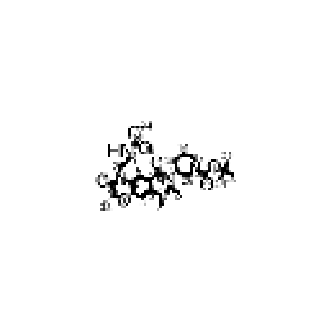 CCc1cc2c(cc1C(=O)N(C(C)C)[C@@H]1CCCN(C(=O)OC(C)(C)C)C1)N(CCNC(=O)OC)C(=O)[C@@H](C)O2